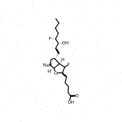 CCCC[C@@H](F)[C@H](O)/C=C/[C@H]1CC[C@@H]2O/C(=C\CCCC(=O)O)C(F)[C@@H]21.[NaH]